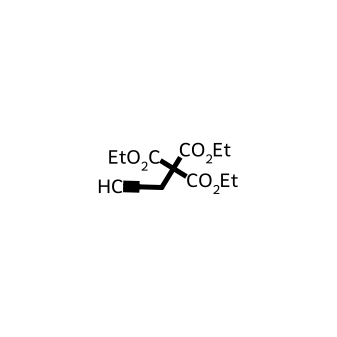 C#CCC(C(=O)OCC)(C(=O)OCC)C(=O)OCC